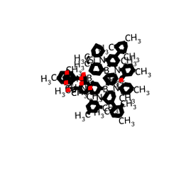 Cc1cc(C)c(-c2cc3c4c(c2)N2c5ccccc5[Si](C)(C)c5cccc(c52)B4c2cc4c(cc2N3)N(c2c(C)cc(C)cc2C)c2cc(-c3c(C)cc(C)cc3C)cc3c2B4c2cc4c(cc2N3c2c(C)cc(C)cc2C)N(c2c(C)cc(C)cc2C)c2cc(-c3c(C)cc(C)cc3C)cc3c2B4c2cccc4c2N3c2ccccc2[Si]4(C)C)c(C)c1